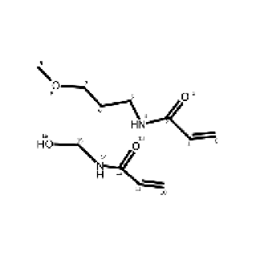 C=CC(=O)NCCCOC.C=CC(=O)NCO